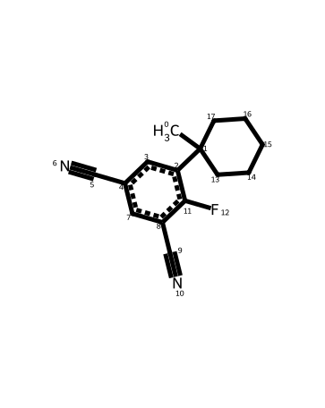 CC1(c2cc(C#N)cc(C#N)c2F)CCCCC1